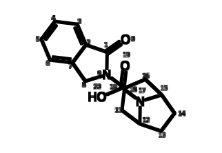 O=C1c2ccccc2CN1C1CC2CCC(C1)N2C(=O)O